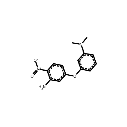 CN(C)c1cccc(Oc2ccc([N+](=O)[O-])c(N)c2)c1